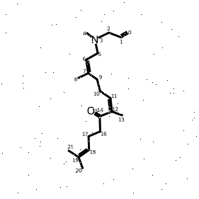 C=CCN(C)CC=C(C)CCC=C(C)C(=O)CCC=C(C)C